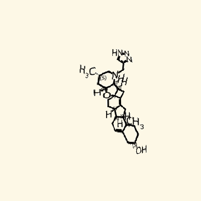 C[C@H]1C[C@H]2O[C@@]34CC[C@@H]5C(=C3C[C@@H]4[C@@H]2N(Cc2c[nH]nn2)C1)C[C@H]1[C@H]5CC=C2C[C@@H](O)CC[C@@]21C